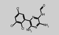 Nc1nc(N)c(-c2cc(Cl)cc(Cl)c2Cl)nc1NC=O